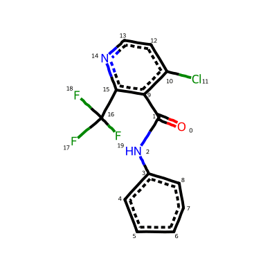 O=C(Nc1ccccc1)c1c(Cl)ccnc1C(F)(F)F